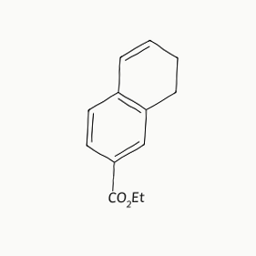 CCOC(=O)c1ccc2c(c1)CCC=C2